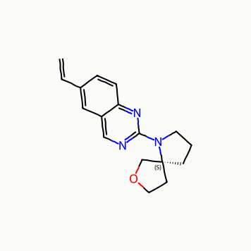 C=Cc1ccc2nc(N3CCC[C@@]34CCOC4)ncc2c1